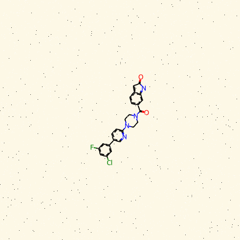 O=C1C=c2ccc(C(=O)N3CCN(c4ccc(-c5cc(F)cc(Cl)c5)cn4)CC3)cc2=N1